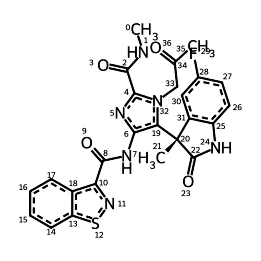 CNC(=O)c1nc(NC(=O)c2nsc3ccccc23)c([C@@]2(C)C(=O)Nc3ccc(F)cc32)n1CC(C)=O